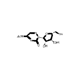 CC(=O)Nc1cnn([C@@H]2O[C@H](CO)[C@H](O)[C@@H]2O)c(=O)n1